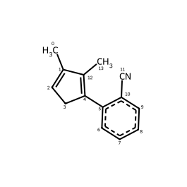 CC1=CCC(c2ccccc2C#N)=C1C